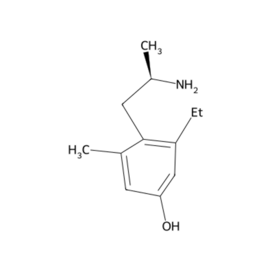 CCc1cc(O)cc(C)c1C[C@@H](C)N